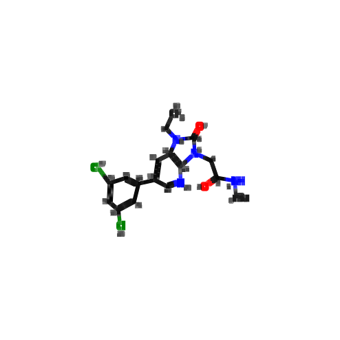 CCCCNC(=O)Cn1c(=O)n(CC(F)(F)F)c2cc(-c3cc(Cl)cc(Cl)c3)cnc21